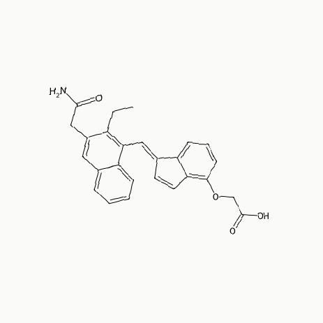 CCc1c(CC(N)=O)cc2ccccc2c1C=C1C=Cc2c(OCC(=O)O)cccc21